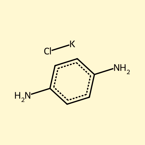 Nc1ccc(N)cc1.[Cl][K]